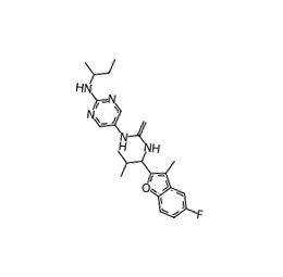 C=C(Nc1cnc(NC(C)CC)nc1)NC(c1oc2ccc(F)cc2c1C)C(C)C